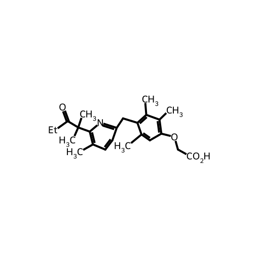 CCC(=O)C(C)(C)c1nc(Cc2c(C)cc(OCC(=O)O)c(C)c2C)ccc1C